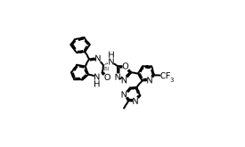 Cc1ncc(-c2nc(C(F)(F)F)ccc2-c2nnc(N[C@H]3N=C(c4ccccc4)c4ccccc4NC3=O)o2)cn1